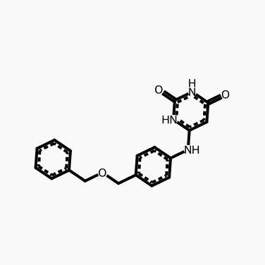 O=c1cc(Nc2ccc(COCc3ccccc3)cc2)[nH]c(=O)[nH]1